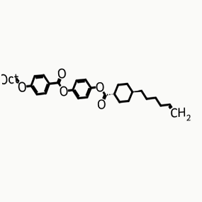 C=CCCCC[C@H]1CC[C@H](C(=O)Oc2ccc(OC(=O)c3ccc(OCCCCCCCC)cc3)cc2)CC1